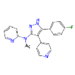 CC(=O)N(c1ccccn1)c1n[nH]c(-c2ccc(F)cc2)c1-c1ccncc1